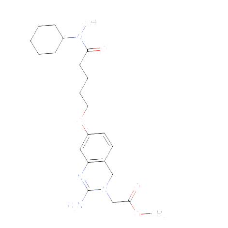 COC(=O)CN1Cc2ccc(OCCCCC(=O)N(C)C3CCCCC3)cc2N=C1N